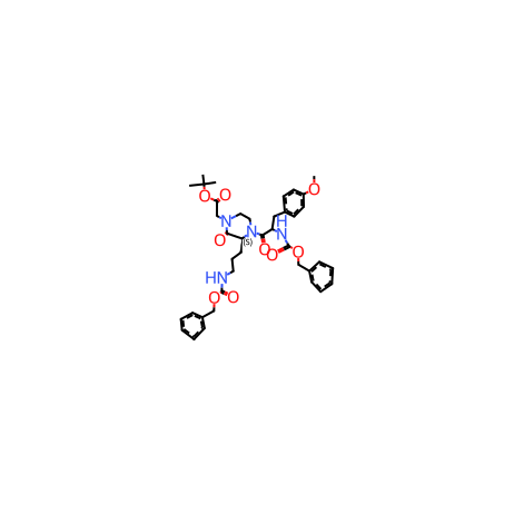 COc1ccc(CC(NC(=O)OCc2ccccc2)C(=O)N2CCN(CC(=O)OC(C)(C)C)C(=O)[C@@H]2CCCNC(=O)OCc2ccccc2)cc1